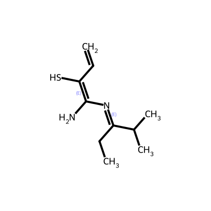 C=C/C(S)=C(N)\N=C(/CC)C(C)C